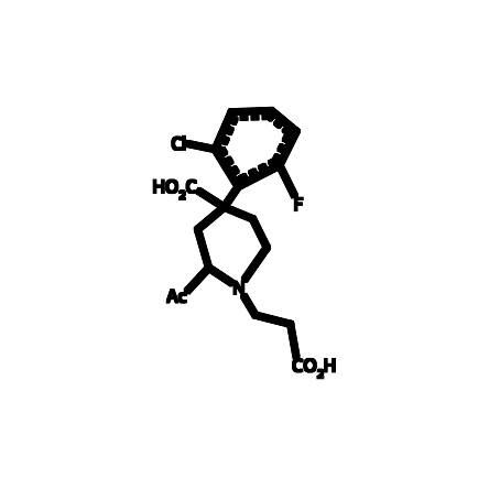 CC(=O)C1CC(C(=O)O)(c2c(F)cccc2Cl)CCN1CCC(=O)O